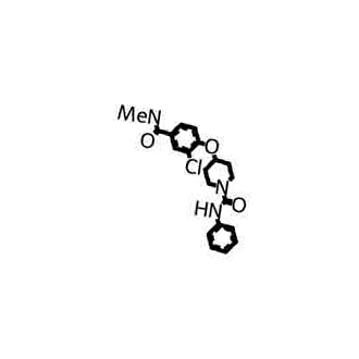 CNC(=O)c1ccc(OC2CCN(C(=O)Nc3ccccc3)CC2)c(Cl)c1